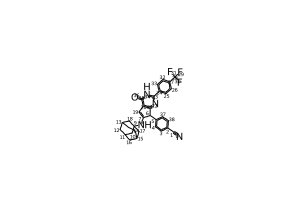 N#Cc1ccc(C2C(NC34CC5CC(CC(C5)C3)C4)=Cc3c2nc(-c2ccc(C(F)(F)F)cc2)[nH]c3=O)cc1